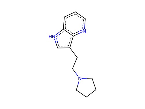 c1cnc2c(CCN3CCCC3)c[nH]c2c1